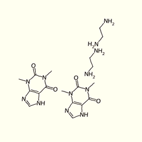 Cn1c(=O)c2[nH]cnc2n(C)c1=O.Cn1c(=O)c2[nH]cnc2n(C)c1=O.NCCN.NCCN